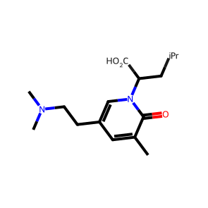 Cc1cc(CCN(C)C)cn(C(CC(C)C)C(=O)O)c1=O